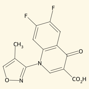 Cc1conc1-n1cc(C(=O)O)c(=O)c2cc(F)c(F)cc21